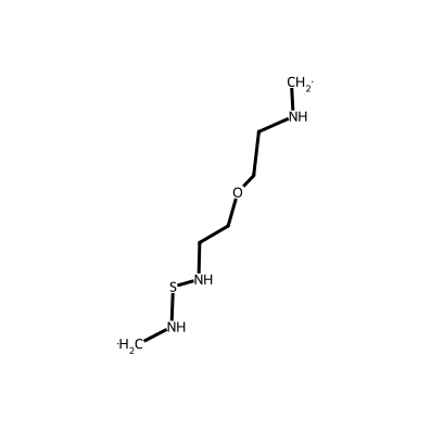 [CH2]NCCOCCNSN[CH2]